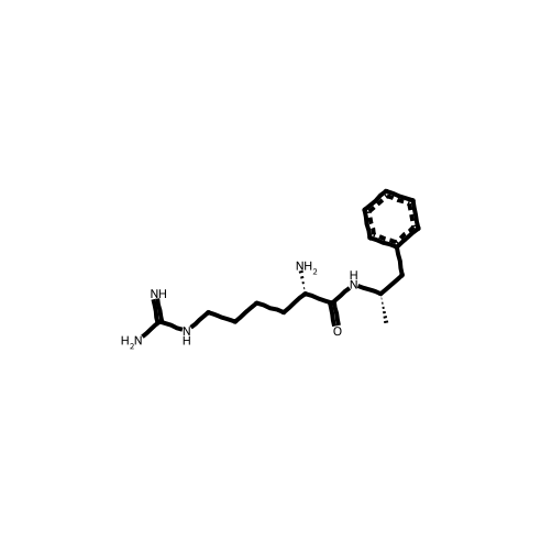 C[C@@H](Cc1ccccc1)NC(=O)[C@@H](N)CCCCNC(=N)N